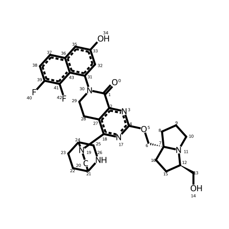 O=C1c2nc(OC[C@]34CCCN3[C@@H](CO)CC4)nc(N3CC4CCC3CN4)c2CCN1c1cc(O)cc2ccc(F)c(F)c12